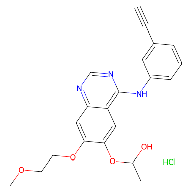 C#Cc1cccc(Nc2ncnc3cc(OCCOC)c(OC(C)O)cc23)c1.Cl